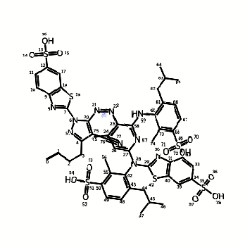 CCCCc1nn(-c2nc3ccc(S(=O)(=O)O)cc3s2)c(/N=N\c2c(C)cc(N(c3nc4ccc(S(=O)(=O)O)cc4s3)c3c(CC(C)C)ccc(S(=O)(=O)O)c3C)nc2Nc2c(CC(C)C)ccc(S(=O)(=O)O)c2C)c1C#N